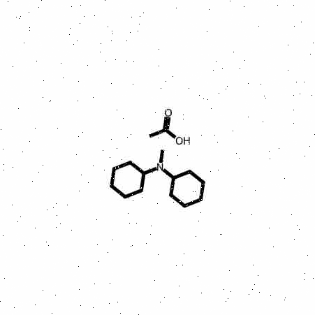 CC(=O)O.CN(C1CCCCC1)C1CCCCC1